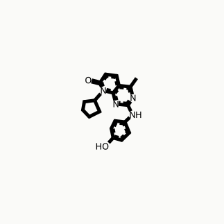 Cc1nc(Nc2ccc(O)cc2)nc2c1ccc(=O)n2C1CCCC1